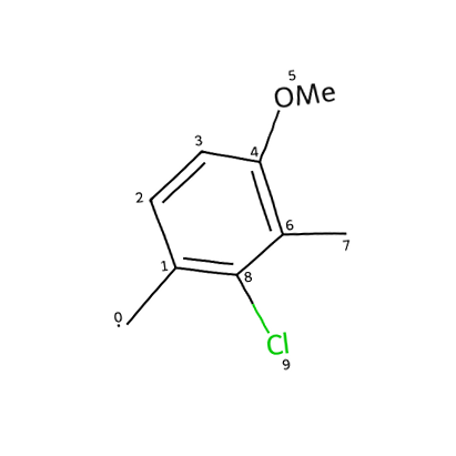 [CH2]c1ccc(OC)c(C)c1Cl